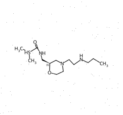 CCCNCCN1CCO[C@@H](CNC(=O)[SH](C)C)C1